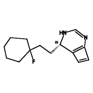 FC1(CC[C@@H]2NC=NC3=C2C=C3)CCCCC1